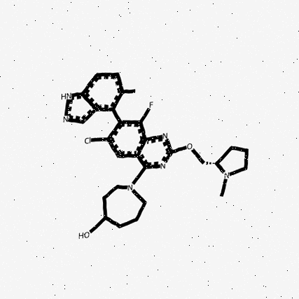 Cc1ccc2[nH]ncc2c1-c1c(Cl)cc2c(N3CCCC(O)CC3)nc(OC[C@@H]3CCCN3C)nc2c1F